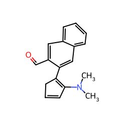 CN(C)C1=C(c2cc3ccccc3cc2C=O)CC=C1